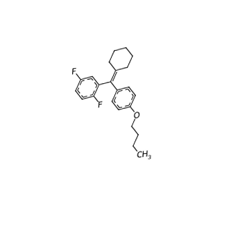 CCCCOc1ccc(C(=C2CCCCC2)c2cc(F)ccc2F)cc1